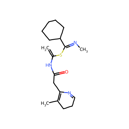 C=C(NC(=O)CC1=C(C)CCC=N1)S/C(=N\C)C1CCCCC1